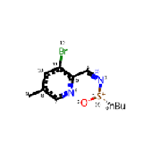 CCCC[S@+]([O-])/N=C\c1ncc(C)cc1Br